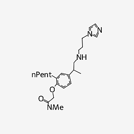 CCCCCc1cc(C(C)CNCCCn2ccnc2)ccc1OCC(=O)NC